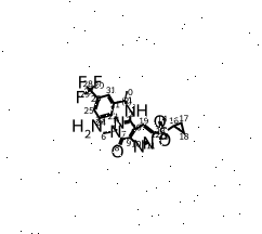 C[C@@H](Nc1nn(C)c(=O)c2nnc(S(=O)(=O)C3CC3)cc12)c1cc(N)cc(C(F)(F)F)c1